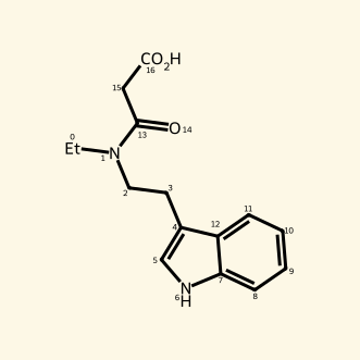 CCN(CCc1c[nH]c2ccccc12)C(=O)CC(=O)O